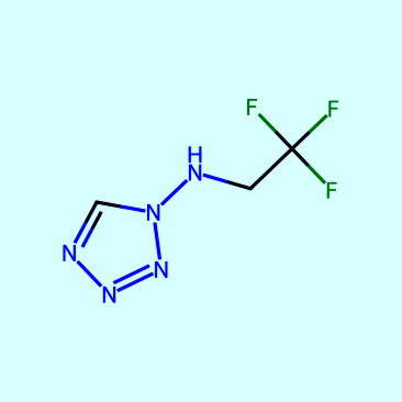 FC(F)(F)CNn1cnnn1